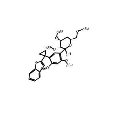 CCCCOC[C@@H]1C[C@H](OCCCC)[C@@H](OCCCC)C(O)(c2cc(C3(c4cc5ccccc5s4)CC3)c(OC)cc2OCCCC)O1